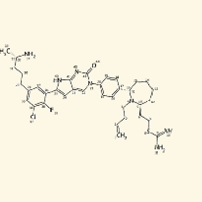 C=CCCN1[C@H](CCSC(=N)N)CCCC[C@H]1c1ccc(-n2cc3cc(-c4cc(CCC[C@H](C)N)cc(Cl)c4F)[nH]c3nc2=O)cc1